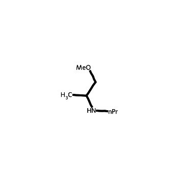 CCCNC(C)COC